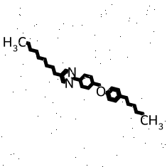 CCCCCCCCCc1cnc(C2CCC(COc3ccc(CCCCCC)cc3)CC2)nc1